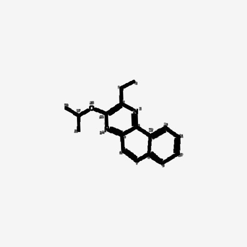 CCc1nc2c(ccc3ccccc32)nc1OC(C)C